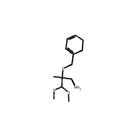 COC(OC)C(C)(CN)SCC1=CC=CCC1